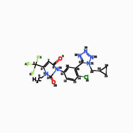 Cn1c(C(F)(F)F)cc(=O)n(-c2ccc(Cl)c(-c3nnnn3CC3CC3)c2)c1=O